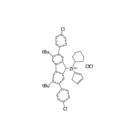 CC(C)(C)c1cc2c(cc1-c1ccc(Cl)cc1)[CH]([Zr+2]([C]1=CC=CC1)[CH]1CCCCC1)c1cc(-c3ccc(Cl)cc3)c(C(C)(C)C)cc1-2.[Cl-].[Cl-]